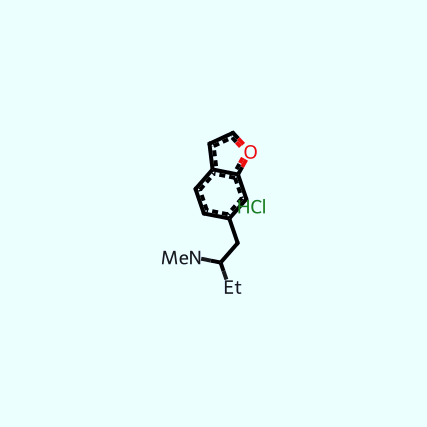 CCC(Cc1ccc2ccoc2c1)NC.Cl